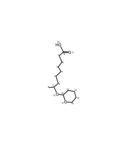 CC(CCCCCCC(=O)O)OC1CCCCO1